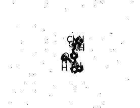 O=C(NCc1ccc(CN(CCC2NC=CO2)C2CCCc3cccnc32)cc1)c1c(Cl)cncc1Cl